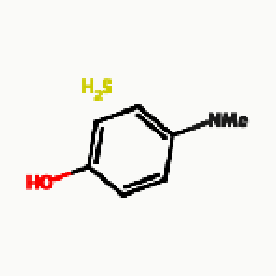 CNc1ccc(O)cc1.S